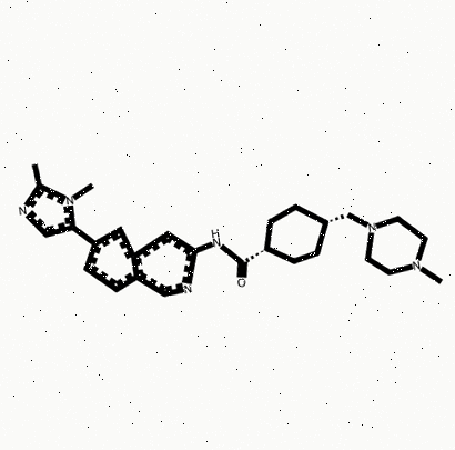 Cc1ncc(-c2ccc3cnc(NC(=O)[C@H]4CC[C@@H](CN5CCN(C)CC5)CC4)cc3c2)n1C